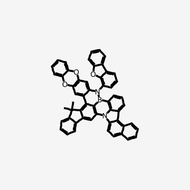 CC1(C)c2ccccc2-c2cc3c4c(c21)-c1cc2c(cc1N(c1cccc5c1oc1ccccc15)B4c1cccc4c5c6ccccc6ccc5n-3c14)Oc1ccccc1O2